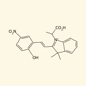 CC(C(=O)O)[N+]1=C(/C=C/c2cc([N+](=O)[O-])ccc2O)C(C)(C)c2ccccc21